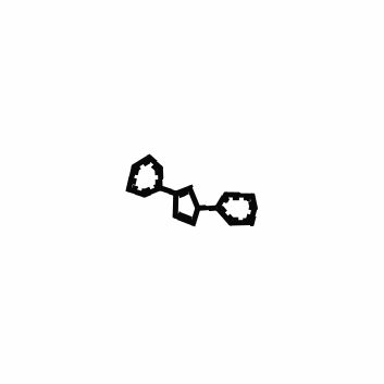 C1=CC(c2ccccc2)C=C1c1ccccc1